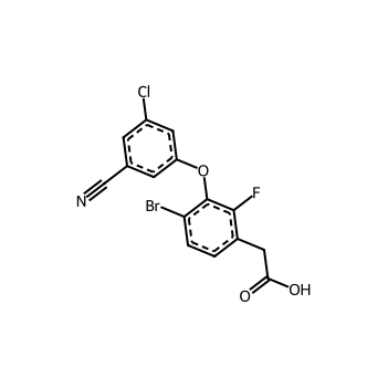 N#Cc1cc(Cl)cc(Oc2c(Br)ccc(CC(=O)O)c2F)c1